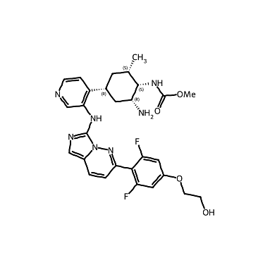 COC(=O)N[C@@H]1[C@H](N)C[C@H](c2ccncc2Nc2ncc3ccc(-c4c(F)cc(OCCO)cc4F)nn23)C[C@@H]1C